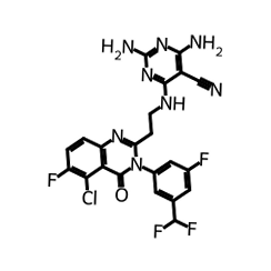 N#Cc1c(N)nc(N)nc1NCCc1nc2ccc(F)c(Cl)c2c(=O)n1-c1cc(F)cc(C(F)F)c1